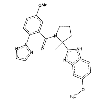 COc1ccc(-n2nccn2)c(C(=O)N2CCCC2(C)c2nc3cc(OC(F)(F)F)ccc3[nH]2)c1